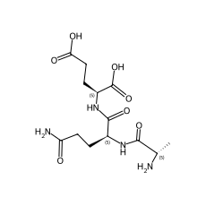 C[C@H](N)C(=O)N[C@@H](CCC(N)=O)C(=O)N[C@@H](CCC(=O)O)C(=O)O